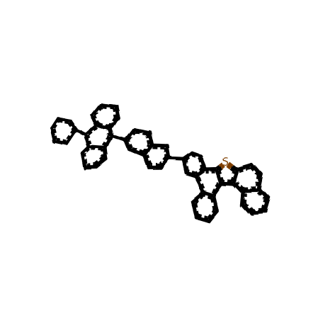 c1ccc(-c2c3ccccc3c(-c3ccc4cc(-c5ccc6c(c5)c5ccccc5c5c6sc6ccc7ccccc7c65)ccc4c3)c3ccccc23)cc1